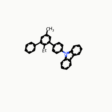 CCc1c(-c2ccccc2)cc(C)cc1-c1ccc(-n2c3ccccc3c3ccccc32)cc1